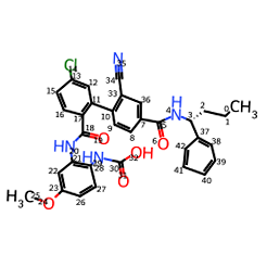 CCC[C@@H](NC(=O)c1ccc(-c2cc(Cl)ccc2C(=O)Nc2cc(OC)ccc2NC(=O)O)c(C#N)c1)c1ccccc1